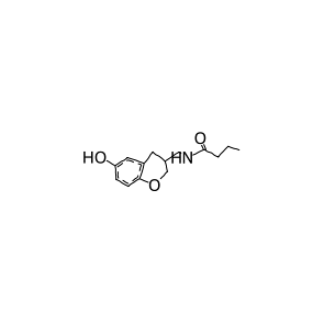 CCCC(=O)NCC1COc2ccc(O)cc2C1